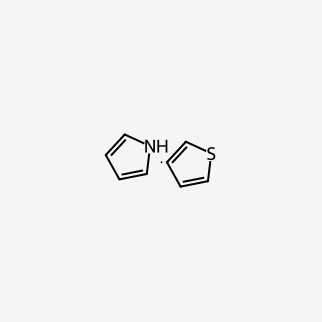 [c]1ccsc1.c1cc[nH]c1